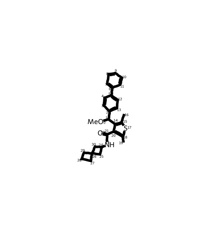 COC(c1ccc(-c2ccccc2)cc1)c1c(C)sc(C)c1C(=O)NC1CC2(CCC2)C1